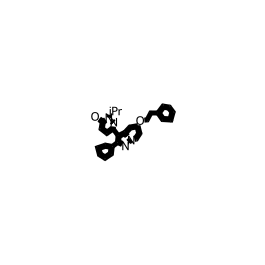 CC(C)n1nc(-c2c(-c3ccccc3)nn3ccc(OCCc4ccccc4)cc23)ccc1=O